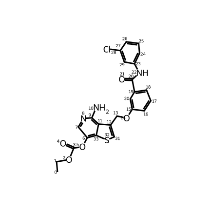 CCOC(=O)Oc1cnc(N)c2c(COc3cccc(C(=O)Nc4cccc(Cl)c4)c3)csc12